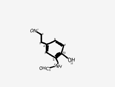 O=CNc1cc(CCN=O)ccc1O